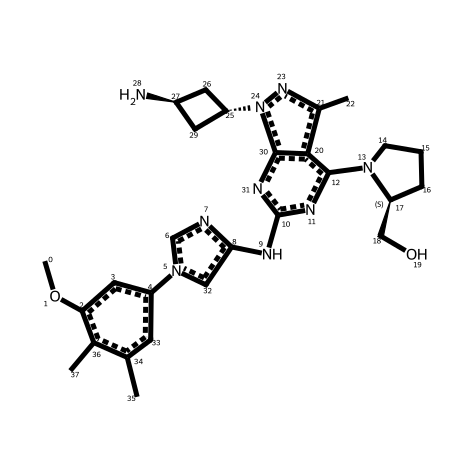 COc1cc(-n2cnc(Nc3nc(N4CCC[C@H]4CO)c4c(C)nn([C@H]5C[C@H](N)C5)c4n3)c2)cc(C)c1C